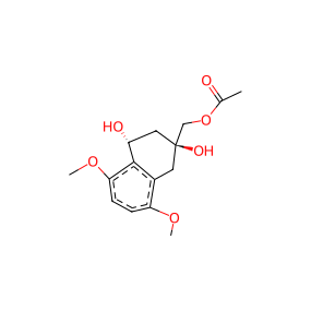 COc1ccc(OC)c2c1C[C@@](O)(COC(C)=O)C[C@H]2O